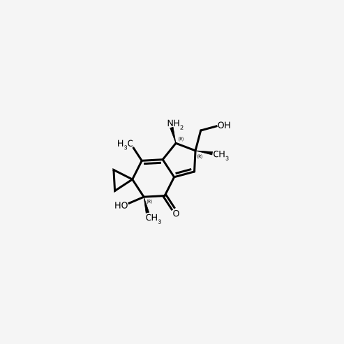 CC1=C2C(=C[C@@](C)(CO)[C@@H]2N)C(=O)[C@](C)(O)C12CC2